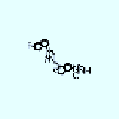 C[C@@H]1CN(c2cccc3cc(F)ccc23)CCN1CC[C@@H]1OCCc2cc(N3CCNC3=O)ccc21